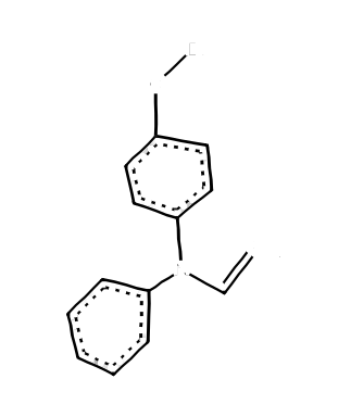 C=CN(c1ccccc1)c1ccc(OCC)cc1